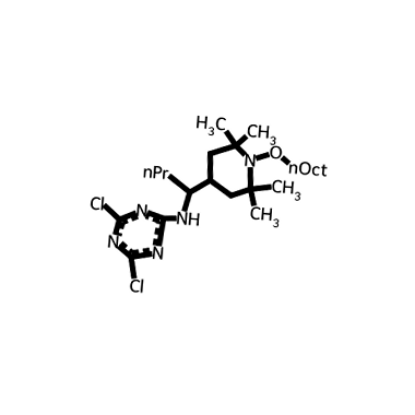 CCCCCCCCON1C(C)(C)CC(C(CCC)Nc2nc(Cl)nc(Cl)n2)CC1(C)C